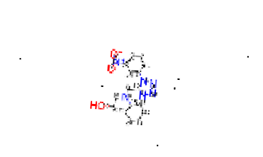 O=[N+]([O-])c1cccc(-n2nnnc2CN(CCO)C2CCCCC2)c1